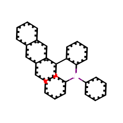 c1ccc(P(c2ccccc2)c2ccccc2-c2cccc3cc4ccccc4cc23)cc1